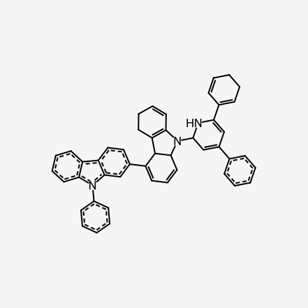 C1=CC2C(C(c3ccc4c5ccccc5n(-c5ccccc5)c4c3)=C1)C1=C(C=CCC1)N2C1C=C(c2ccccc2)C=C(C2=CCCC=C2)N1